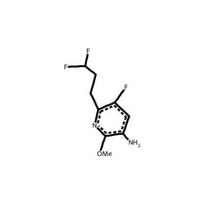 COc1nc(CCC(F)F)c(F)cc1N